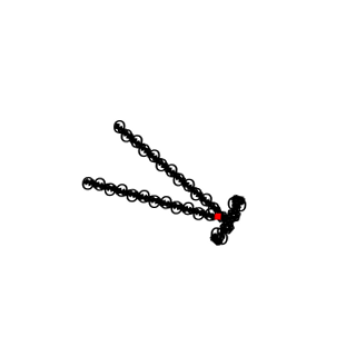 COCCOCCOCCOCCOCCOCCOCCOCCOCCOCCOCCOCCCC1(CCCOCCOCCOCCOCCOCCOCCOCCOCCOCCOCCOCCOC)c2cc(B3OC(C)(C)C(C)(C)O3)ccc2-c2ccc(B3OC(C)(C)C(C)(C)O3)cc21